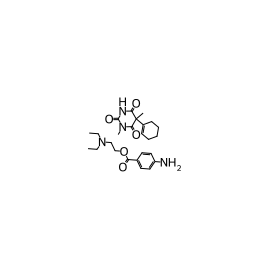 CCN(CC)CCOC(=O)c1ccc(N)cc1.CN1C(=O)NC(=O)C(C)(C2=CCCCC2)C1=O